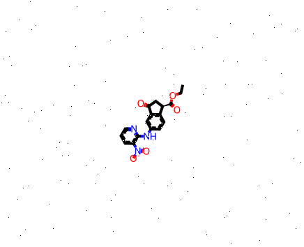 CCOC(=O)[C@@H]1CC(=O)c2cc(Nc3ncccc3[N+](=O)[O-])ccc21